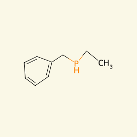 CCPCc1ccccc1